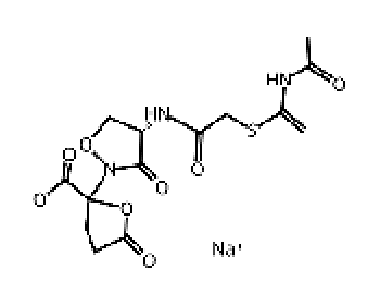 C=C(NC(C)=O)SCC(=O)N[C@H]1CON(C2(C(=O)[O-])CCC(=O)O2)C1=O.[Na+]